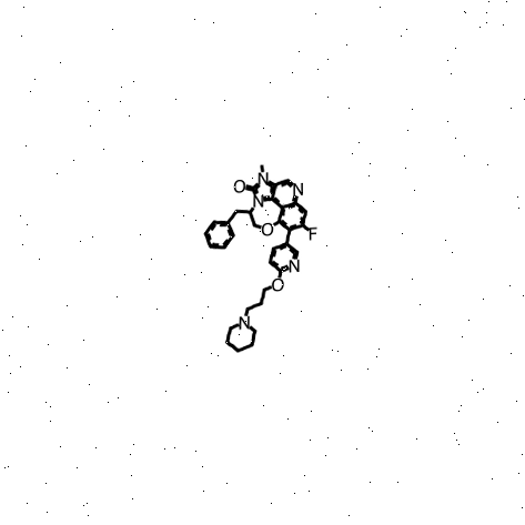 Cn1c(=O)n2c3c4c(c(-c5ccc(OCCCN6CCCCC6)nc5)c(F)cc4ncc31)OCC2Cc1ccccc1